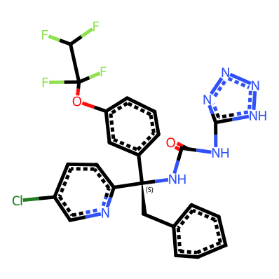 O=C(Nc1nnn[nH]1)N[C@@](Cc1ccccc1)(c1cccc(OC(F)(F)C(F)F)c1)c1ccc(Cl)cn1